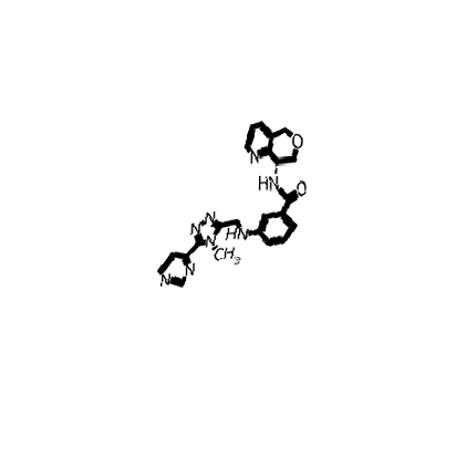 Cn1c(CNc2cccc(C(=O)N[C@H]3COCc4cccnc43)c2)nnc1-c1ccncn1